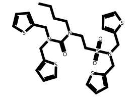 CCCCN(CCS(=O)(=O)N(Cc1cccs1)Cc1cccs1)C(=O)N(Cc1cccs1)Cc1cccs1